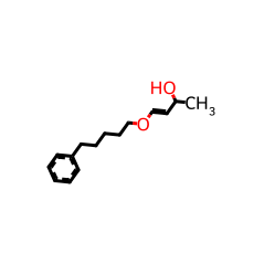 CC(O)C=COCCCCCc1ccccc1